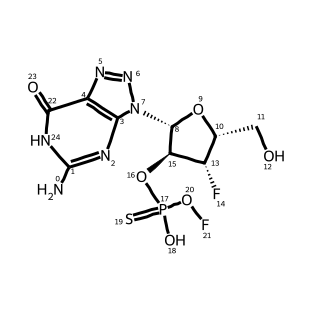 Nc1nc2c(nnn2[C@@H]2O[C@H](CO)[C@H](F)[C@H]2OP(O)(=S)OF)c(=O)[nH]1